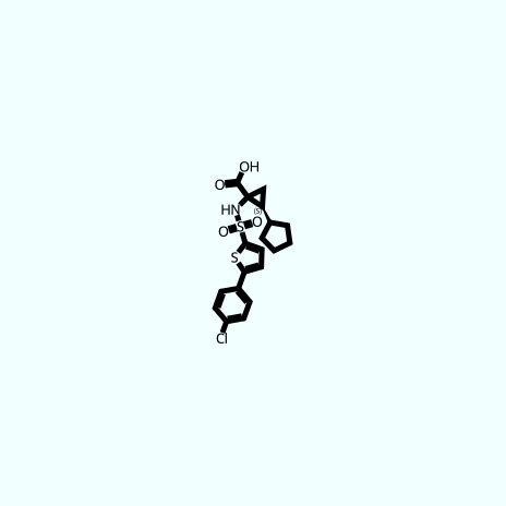 O=C(O)C1(NS(=O)(=O)c2ccc(-c3ccc(Cl)cc3)s2)C[C@H]1C1CCCC1